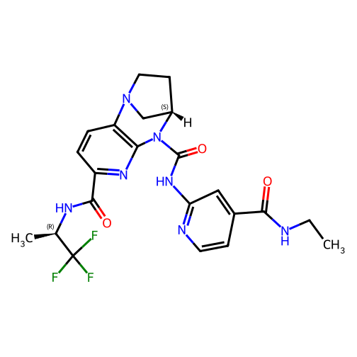 CCNC(=O)c1ccnc(NC(=O)N2c3nc(C(=O)N[C@H](C)C(F)(F)F)ccc3N3CC[C@H]2C3)c1